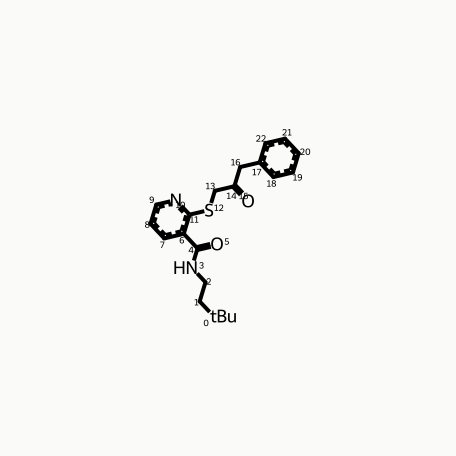 CC(C)(C)CCNC(=O)c1cccnc1SCC(=O)Cc1ccccc1